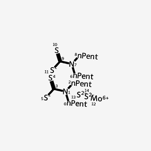 CCCCCN(CCCCC)C(=S)[S-].CCCCCN(CCCCC)C(=S)[S-].[Mo+6].[S-2].[S-2]